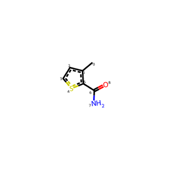 Cc1ccsc1C(N)=O